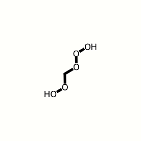 OOCOOO